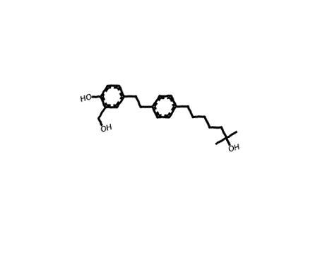 CC(C)(O)CCCCCc1ccc(CCc2ccc(O)c(CO)c2)cc1